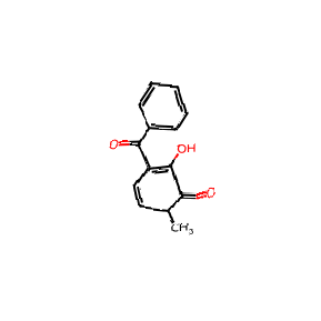 CC1C=CC(C(=O)c2ccccc2)=C(O)C1=O